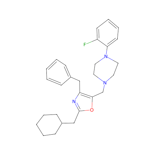 Fc1ccccc1N1CCN(Cc2oc(CC3CCCCC3)nc2Cc2ccccc2)CC1